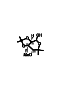 CO[C@@H]1[C@H]2OC(C)(C)O[C@H]2C(O)OC1(C)C